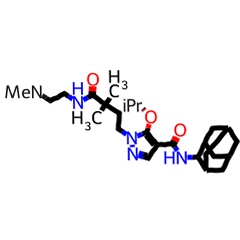 CNCCNC(=O)C(C)(C)CCn1ncc(C(=O)NC2C3CC4CC(C3)CC2C4)c1OC(C)C